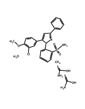 C.COc1ccc(-c2cc(-c3ccccc3)nn2-c2ccccc2S(N)(=O)=O)cc1Cl.NC(O)=S.NC(O)=S.O